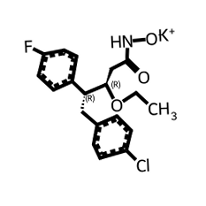 CCO[C@H](CC(=O)N[O-])[C@H](Cc1ccc(Cl)cc1)c1ccc(F)cc1.[K+]